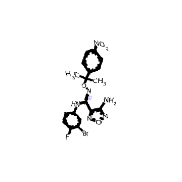 CC(C)(O/N=C(\Nc1ccc(F)c(Br)c1)c1nonc1N)c1ccc([N+](=O)[O-])cc1